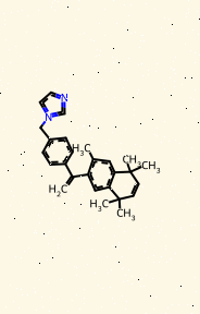 C=C(c1ccc(Cn2ccnc2)cc1)c1cc2c(cc1C)C(C)(C)C=CC2(C)C